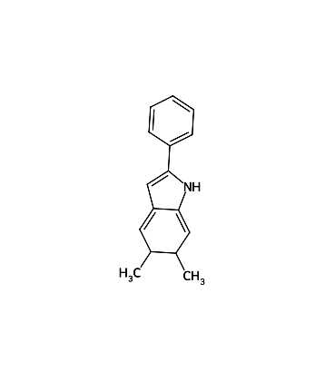 CC1C=c2cc(-c3ccccc3)[nH]c2=CC1C